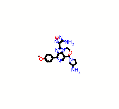 CCn1c(-c2nonc2N)nc2c(-c3ccc(OC)cc3)ncc(C(=O)N3CCC(N)C3)c21